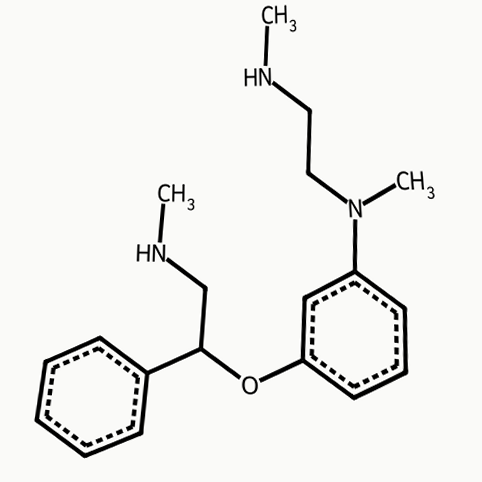 CNCCN(C)c1cccc(OC(CNC)c2ccccc2)c1